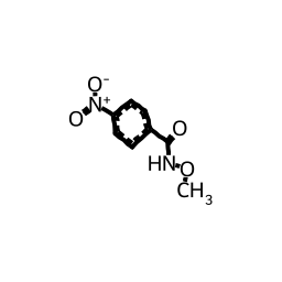 CONC(=O)c1ccc([N+](=O)[O-])cc1